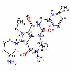 CCn1c(N2CCC[C@@H](N)C2)c(C(=O)N(C)C)c2c1c(=O)n(Cc1nccc(C)n1)c(=O)n2C